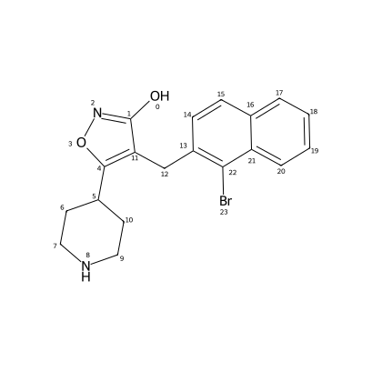 Oc1noc(C2CCNCC2)c1Cc1ccc2ccccc2c1Br